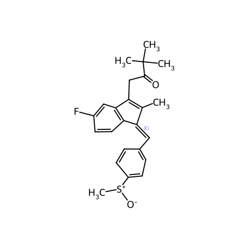 CC1=C(CC(=O)C(C)(C)C)c2cc(F)ccc2/C1=C\c1ccc([S+](C)[O-])cc1